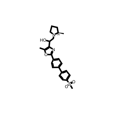 Cc1oc(-c2ccc(-c3ccc(S(C)(=O)=O)cc3)cc2)nc1C(O)CN1CCC[C@H]1C